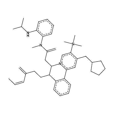 C=C(/C=C\C)CCC1c2ccccc2-c2cc(CC3CCCC3)c([Si](C)(C)C)c[n+]2C1CC(=C)N(C)c1ccccc1NC(C)C